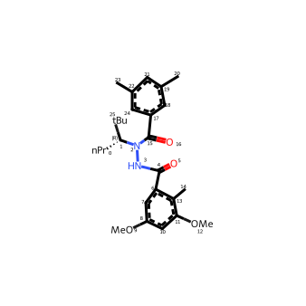 CCC[C@@H](N(NC(=O)c1cc(OC)cc(OC)c1C)C(=O)c1cc(C)cc(C)c1)C(C)(C)C